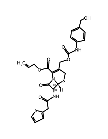 C=CCOC(=O)C1=C(COC(=O)Nc2ccc(CO)cc2)CS[C@@H]2[C@H](NC(=O)Cc3cccs3)C(=O)N12